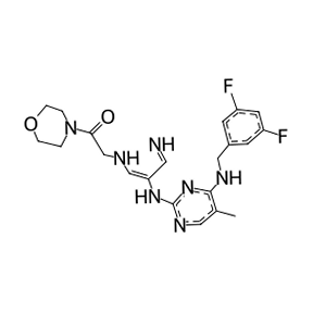 Cc1cnc(N/C(C=N)=C/NCC(=O)N2CCOCC2)nc1NCc1cc(F)cc(F)c1